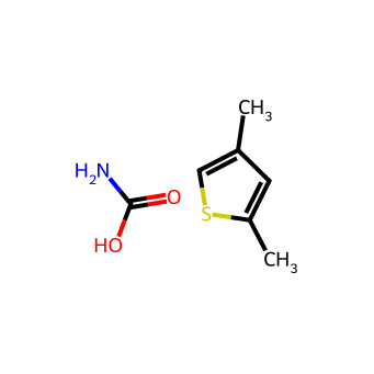 Cc1csc(C)c1.NC(=O)O